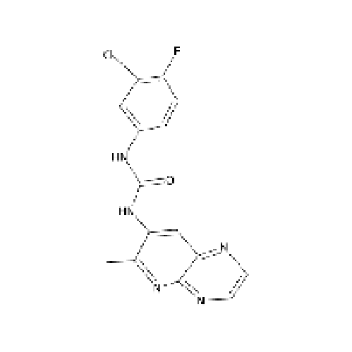 Cc1nc2nccnc2cc1NC(=O)Nc1ccc(F)c(Cl)c1